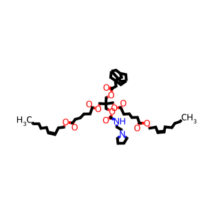 CCCCC/C=C\CCOC(=O)CCCCC(=O)OCC(COC(=O)CCCCC(=O)OCC/C=C\CCCCC)(COC(=O)CC12CC3CC(CC(C3)C1)C2)COC(=O)NCCN1CCCC1